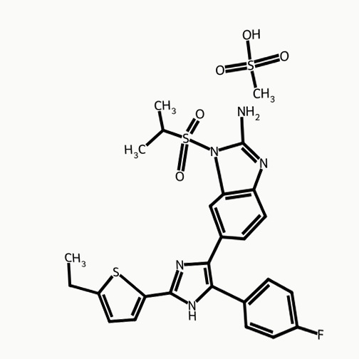 CCc1ccc(-c2nc(-c3ccc4nc(N)n(S(=O)(=O)C(C)C)c4c3)c(-c3ccc(F)cc3)[nH]2)s1.CS(=O)(=O)O